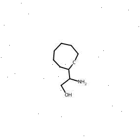 NC(CO)C1CCCCCCC1